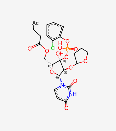 CC(=O)CCC(=O)OC[C@H]1O[C@@H](n2ccc(=O)[nH]c2=O)[C@H](OC2CCCO2)[C@]1(O)OP(=O)(O)Oc1ccccc1Cl